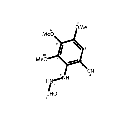 COc1cc(C#N)c(NNC=O)c(OC)c1OC